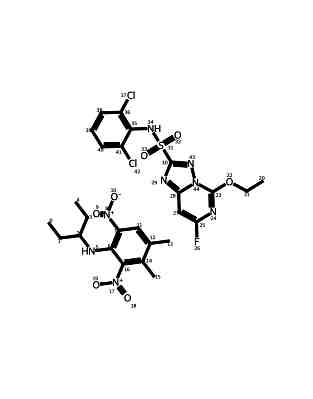 CCC(CC)Nc1c([N+](=O)[O-])cc(C)c(C)c1[N+](=O)[O-].CCOc1nc(F)cc2nc(S(=O)(=O)Nc3c(Cl)cccc3Cl)nn12